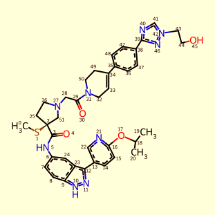 CS[C@@]1(C(=O)Nc2ccc3[nH]nc(-c4ccc(OC(C)C)nc4)c3c2)CCN(CC(=O)N2CC=C(c3ccc(-c4ncn(CCO)n4)cc3)CC2)C1